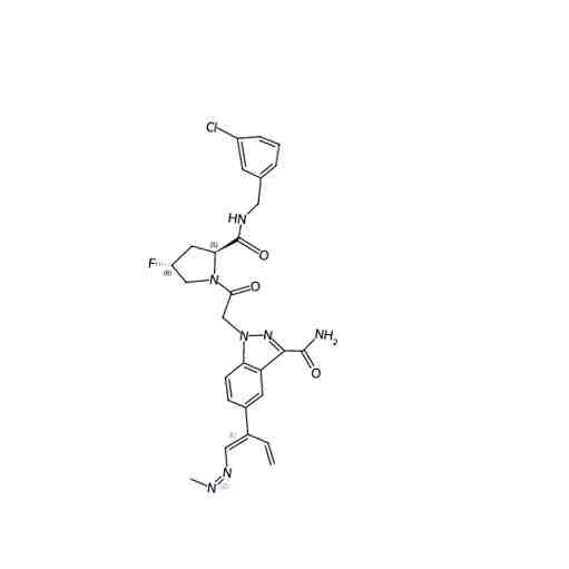 C=C/C(=C\N=N/C)c1ccc2c(c1)c(C(N)=O)nn2CC(=O)N1C[C@H](F)C[C@H]1C(=O)NCc1cccc(Cl)c1